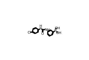 O=C(Nc1ccc(Cl)cc1)Nc1cccc(B(O)O)c1